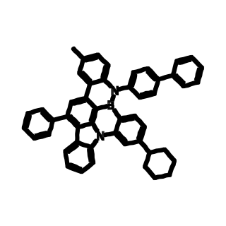 Cc1ccc2c(c1)-c1cc(-c3ccccc3)c3c4ccccc4n4c3c1B(c1ccc(C3CCCCC3)cc1-4)N2c1ccc(-c2ccccc2)cc1